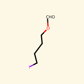 O=COCCCCI